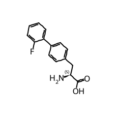 N[C@@H](Cc1ccc(-c2ccccc2F)cc1)C(=O)O